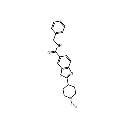 CN1CCC(c2nc3ccc(C(=O)NCc4ccccc4)cc3s2)CC1